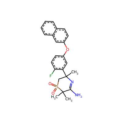 CC1(c2cc(Oc3ccc4ccccc4c3)ccc2F)CS(=O)(=O)C(C)(C)C(N)=N1